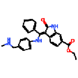 CCOC(=O)c1ccc2c(c1)NC(=O)C2=C(Nc1ccc(CNC)cc1)c1ccccc1